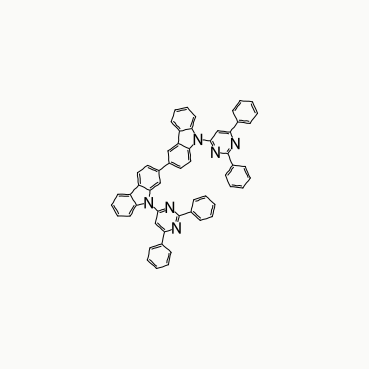 c1ccc(-c2cc(-n3c4ccccc4c4cc(-c5ccc6c7ccccc7n(-c7cc(-c8ccccc8)nc(-c8ccccc8)n7)c6c5)ccc43)nc(-c3ccccc3)n2)cc1